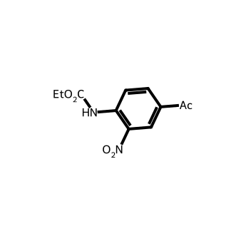 CCOC(=O)Nc1ccc(C(C)=O)cc1[N+](=O)[O-]